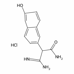 Cl.N=C(N)C(C(N)=O)c1ccc2cc(O)ccc2c1